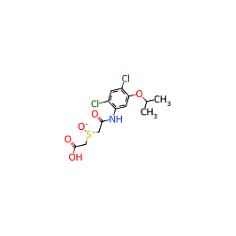 CC(C)Oc1cc(NC(=O)C[S+]([O-])CC(=O)O)c(Cl)cc1Cl